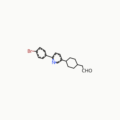 O=CCC1CCC(c2ccc(-c3ccc(Br)cc3)nc2)CC1